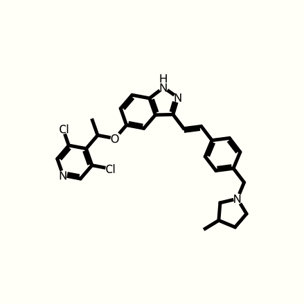 CC1CCN(Cc2ccc(/C=C/c3n[nH]c4ccc(OC(C)c5c(Cl)cncc5Cl)cc34)cc2)C1